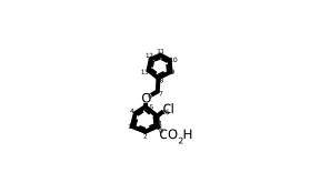 O=C(O)c1cccc(OCc2ccccc2)c1Cl